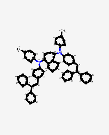 Cc1ccc(N(c2ccc(C=C(c3ccccc3)c3ccccc3)cc2)c2ccc(N(c3ccc(C)cc3)c3ccc(C=C(c4ccccc4)c4ccccc4)cc3)c3ccccc23)cc1